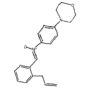 C=CCc1ccccc1C=[N+]([O-])c1ccc(N2CCOCC2)cc1